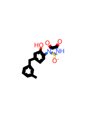 Cc1cccc(Cc2ccc(-n3c(=O)c(=O)[nH][s+]3[O-])c(O)c2)c1